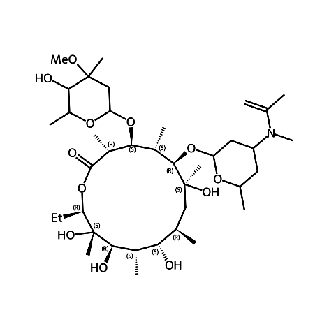 C=C(C)N(C)C1CC(C)OC(O[C@@H]2[C@@H](C)[C@H](OC3CC(C)(OC)C(O)C(C)O3)[C@@H](C)C(=O)O[C@H](CC)[C@@](C)(O)[C@H](O)[C@@H](C)[C@@H](O)[C@H](C)C[C@]2(C)O)C1